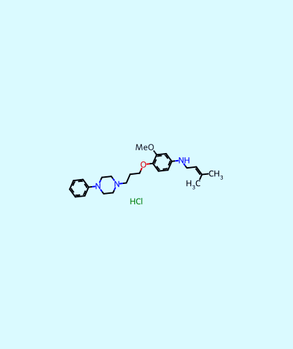 COc1cc(NCC=C(C)C)ccc1OCCCN1CCN(c2ccccc2)CC1.Cl